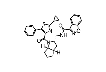 O=C(NC[C@@H]1C[C@@H]2CCC[C@@H]2N1C(=O)c1nc(C2CC2)sc1-c1ccccc1)c1noc2ccccc12